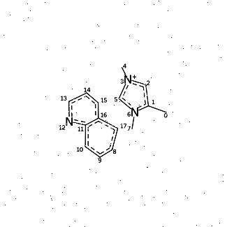 Cc1c[n+](C)cn1C.c1ccc2ncccc2c1